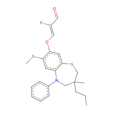 CCCC1(C)CSc2cc(O/C=C(\F)C=O)c(SC)cc2N(c2ccccc2)C1